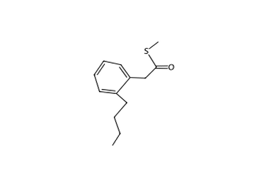 CCCCc1ccccc1CC(=O)SC